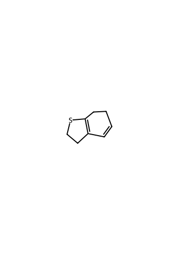 C1=CC2=C(CC1)SCC2